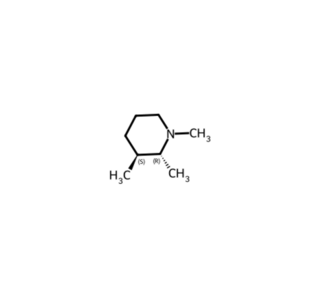 C[C@@H]1[C@@H](C)CCCN1C